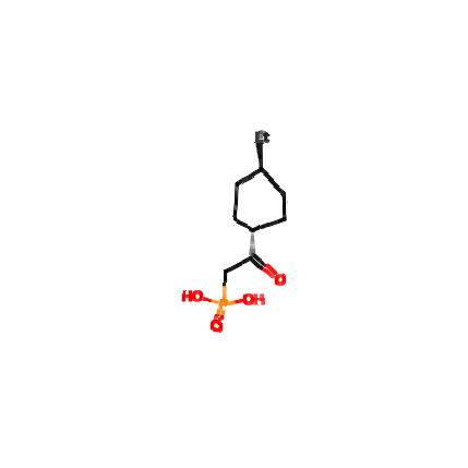 CC[C@H]1CC[C@H](C(=O)CP(=O)(O)O)CC1